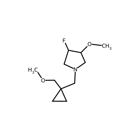 COCC1(CN2CC(F)C(OC)C2)CC1